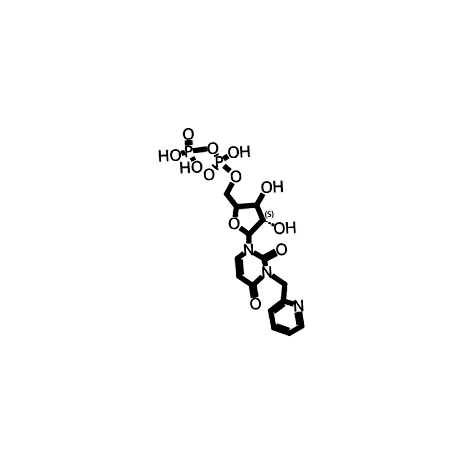 O=c1ccn(C2OC(COP(=O)(O)OP(=O)(O)O)C(O)[C@@H]2O)c(=O)n1Cc1ccccn1